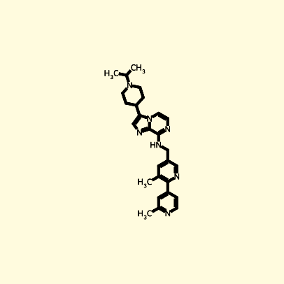 Cc1cc(-c2ncc(CNc3nccn4c(C5CCN(C(C)C)CC5)cnc34)cc2C)ccn1